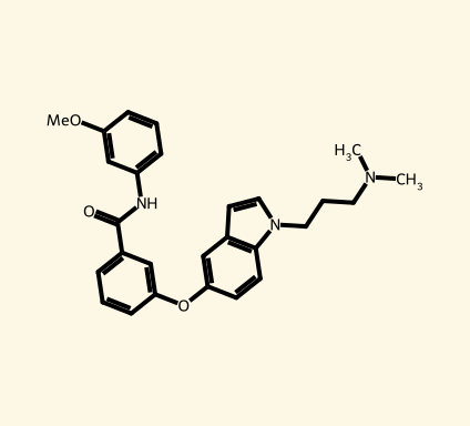 COc1cccc(NC(=O)c2cccc(Oc3ccc4c(ccn4CCCN(C)C)c3)c2)c1